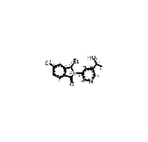 CCC1c2cc(Cl)ccc2C(=O)N1c1cncc(C(C)O)c1